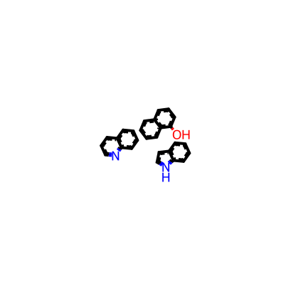 Oc1cccc2ccccc12.c1ccc2[nH]ccc2c1.c1ccc2ncccc2c1